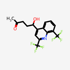 CC(=O)CCC(O)c1cc(C(F)(F)F)nc2c(C(F)(F)F)cccc12